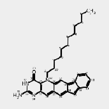 CCCCCCCCCCCCn1c2cc3c(cc4ccccc43)cc2cc2nc(N)[nH]c(=O)c21